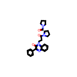 O=C([C@@H]1CCCN1C(=O)CCn1c(=O)c(-c2ccccc2)nc2ccccc21)N1CCCC1